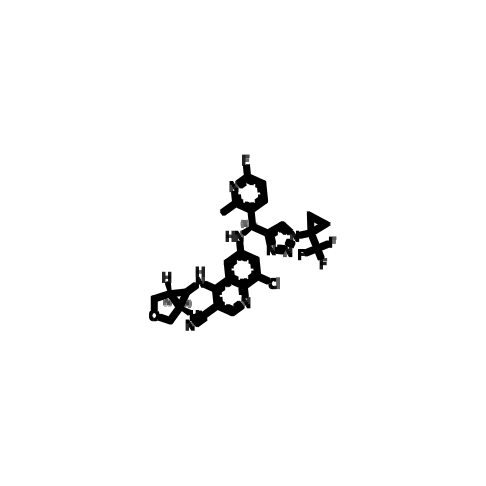 Cc1nc(F)ccc1[C@H](Nc1cc(Cl)c2ncc(C#N)c(NC3[C@H]4COC[C@@H]34)c2c1)c1cn(C2(C(F)(F)F)CC2)nn1